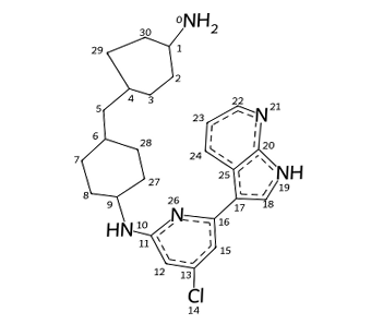 NC1CCC(CC2CCC(Nc3cc(Cl)cc(-c4c[nH]c5ncccc45)n3)CC2)CC1